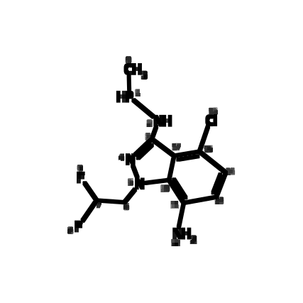 CPNc1nn(CC(F)F)c2c(N)ccc(Cl)c12